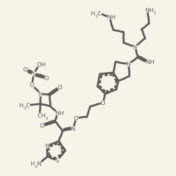 CNCCCN(CCCN)C(=N)N1Cc2ccc(OCCO/N=C(\C(=O)NC3C(=O)N(OS(=O)(=O)O)C3(C)C)c3csc(N)n3)cc2C1